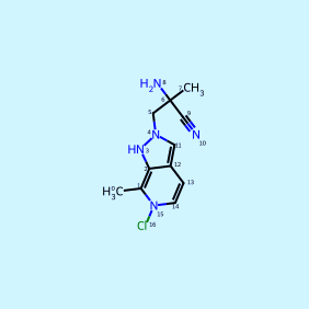 CC1=C2NN(CC(C)(N)C#N)C=C2C=CN1Cl